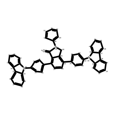 O=C1c2c(-c3ccc(-n4c5ccccc5c5ccccc54)cc3)ccc(-c3ccc(-n4c5ccccc5c5ccccc54)cc3)c2CN1c1ccccc1